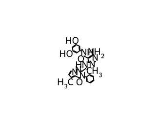 Cc1ccn2nc([C@H](C)Nc3ncnc(N)c3C(=O)Nc3cc(O)cc(O)c3)n(-c3ccccc3)c(=O)c12